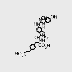 CC(=O)N1Cc2cc(NC(=NC#N)Nc3ccc(O)cc3)ccc2C1C(=O)NC(Cc1ccc(CCC(=O)O)cc1)C(=O)O